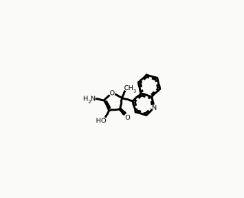 CC1(c2ccnc3ccccc23)OC(N)=C(O)C1=O